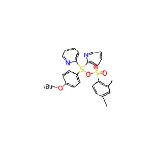 Cc1ccc(S(=O)(=O)OS(c2ccc(OC(C)(C)C)cc2)(c2ccccn2)c2ccccn2)c(C)c1